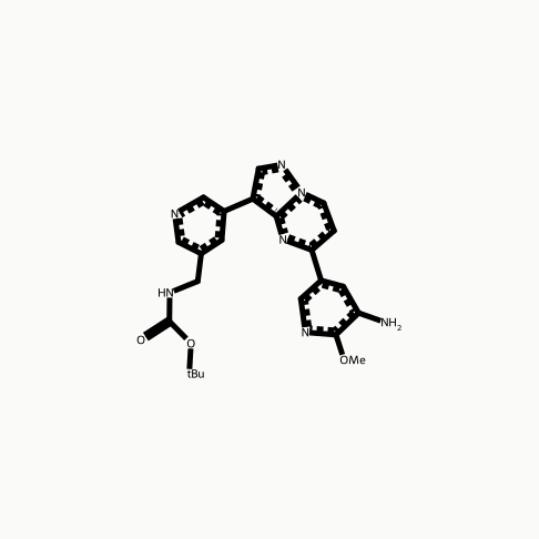 COc1ncc(-c2ccn3ncc(-c4cncc(CNC(=O)OC(C)(C)C)c4)c3n2)cc1N